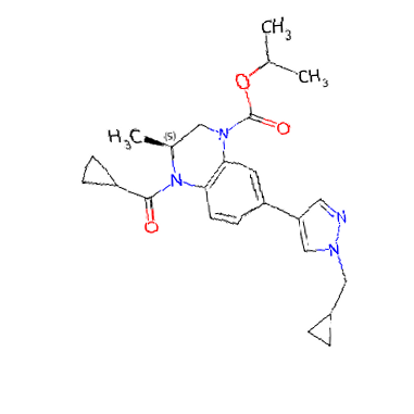 CC(C)OC(=O)N1C[C@H](C)N(C(=O)C2CC2)c2ccc(-c3cnn(CC4CC4)c3)cc21